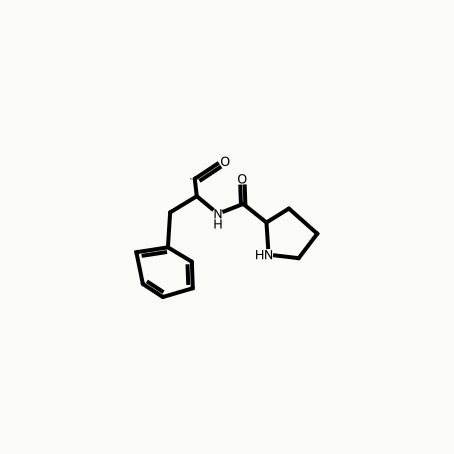 O=[C]C(Cc1ccccc1)NC(=O)C1CCCN1